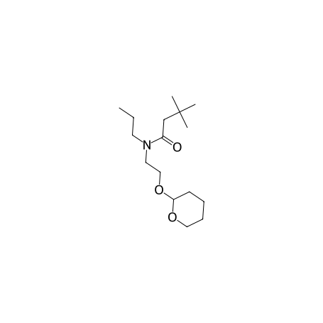 CCCN(CCOC1CCCCO1)C(=O)CC(C)(C)C